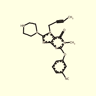 [C-]#[N+]c1cccc(Oc2nc3nc(N4CCNCC4)n(CC#CC)c3c(=O)n2C)c1